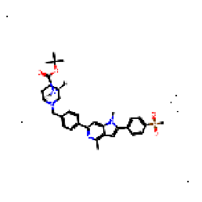 Cc1nc(-c2ccc(CN3C[C@H]4CCC3CN4C(=O)OC(C)(C)C)cc2)cc2c1cc(-c1ccc(S(C)(=O)=O)cc1)n2C